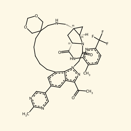 CC(=O)c1nn2c3c(cc(-c4cnc(C)nc4)cc13)CCCCCC1(CNC[C@@]34C[C@@H](C(=O)Nc5nc(C(F)(F)F)ccc5C)N(C(=O)C2)[C@@H]3C4)COCOC1